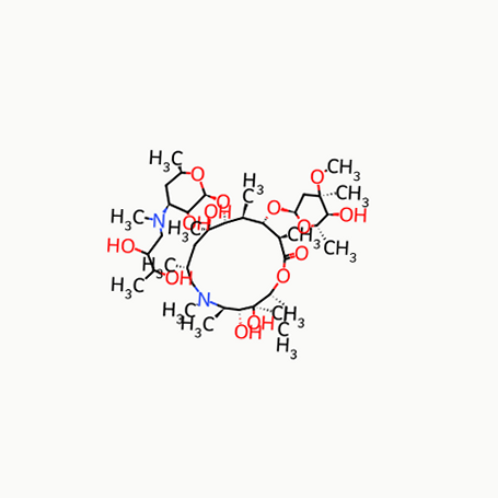 CC[C@H]1OC(=O)[C@H](C)[C@@H](O[C@H]2C[C@@](C)(OC)[C@@H](O)[C@H](C)O2)[C@H](C)[C@@H](O[C@@H]2O[C@H](C)C[C@H](N(C)CC(O)C(C)O)[C@H]2O)[C@](C)(O)C[C@@H](C)CN(C)[C@H](C)[C@@H](O)[C@]1(C)O